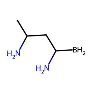 BC(N)CC(C)N